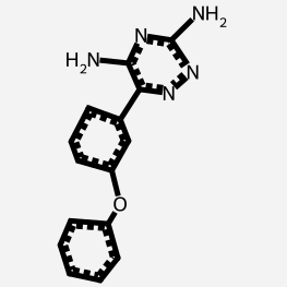 Nc1nnc(-c2cccc(Oc3ccccc3)c2)c(N)n1